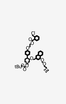 CC(C)(C)OC(=O)ON1CCC(c2ccc(OCCOC(=O)c3ccccc3CCl)cc2)C(OCc2cc(OCOCC[Si](C)(C)C)c3ccccc3c2)C1